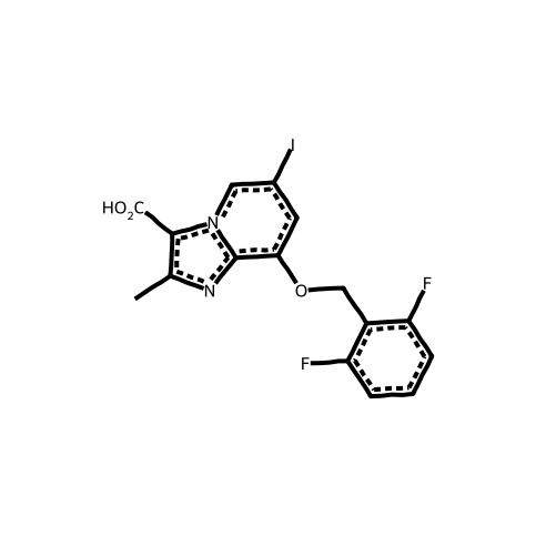 Cc1nc2c(OCc3c(F)cccc3F)cc(I)cn2c1C(=O)O